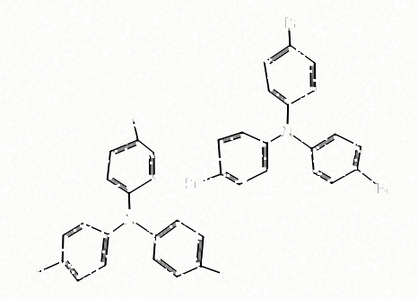 Brc1ccc(N(c2ccc(Br)cc2)c2ccc(Br)cc2)cc1.Clc1ccc(N(c2ccc(Cl)cc2)c2ccc(Cl)cc2)cc1